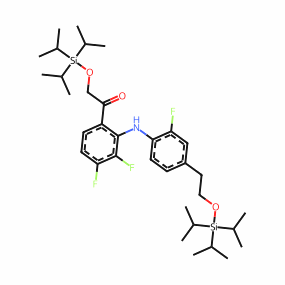 CC(C)[Si](OCCc1ccc(Nc2c(C(=O)CO[Si](C(C)C)(C(C)C)C(C)C)ccc(F)c2F)c(F)c1)(C(C)C)C(C)C